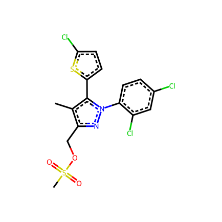 Cc1c(COS(C)(=O)=O)nn(-c2ccc(Cl)cc2Cl)c1-c1ccc(Cl)s1